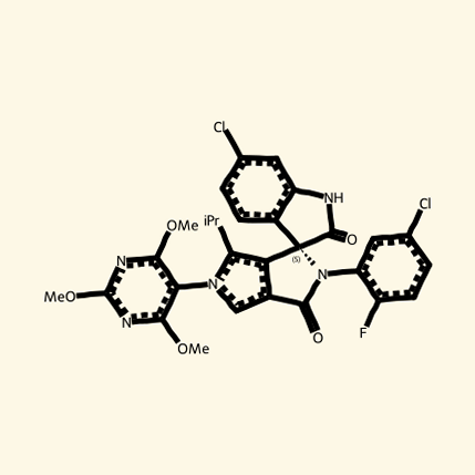 COc1nc(OC)c(-n2cc3c(c2C(C)C)[C@@]2(C(=O)Nc4cc(Cl)ccc42)N(c2cc(Cl)ccc2F)C3=O)c(OC)n1